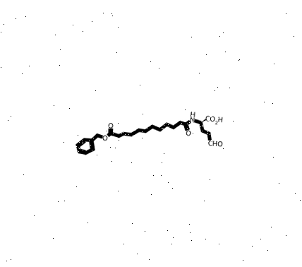 O=CCC[C@H](NC(=O)CCCCCCCCCCC(=O)OCc1ccccc1)C(=O)O